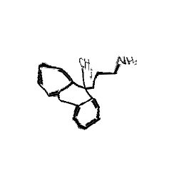 CC1(CCCN)c2ccccc2-c2ccccc21